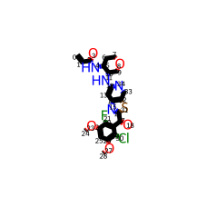 C=CC(=O)NC1CCOCC1Nc1cc2nc(C(=O)c3c(F)c(OC)cc(OC)c3Cl)sc2cn1